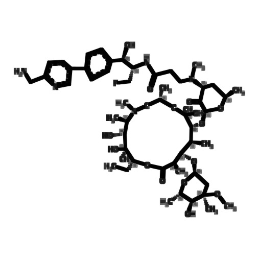 CC[C@H]1OC(=O)[C@H](C)[C@@H](O[C@H]2C[C@@](C)(OC)[C@@H](O)[C@H](C)O2)[C@H](C)[C@@H](O[C@@H]2O[C@H](C)C[C@H](N(C)CCC(=O)N[C@H](CF)[C@H](O)c3ccc(-c4ccc(CN)nc4)cc3)C2=O)[C@](C)(O)C[C@@H](C)CN(C)[C@H](C)[C@@H](O)[C@]1(C)O